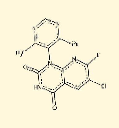 Cc1ncnc(C(C)C)c1-n1c(=O)[nH]c(=O)c2cc(Cl)c(Cl)nc21